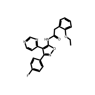 CCOc1ccccc1CC(=O)Nc1onc(-c2ccc(F)cc2)c1-c1ccncn1